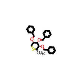 CC(=O)OC1SC[C@@H](OCc2ccccc2)[C@H](OCc2ccccc2)[C@H]1OCc1ccccc1